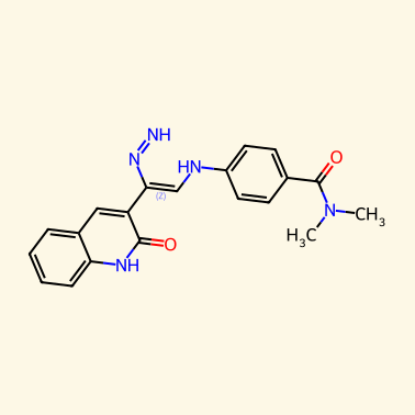 CN(C)C(=O)c1ccc(N/C=C(\N=N)c2cc3ccccc3[nH]c2=O)cc1